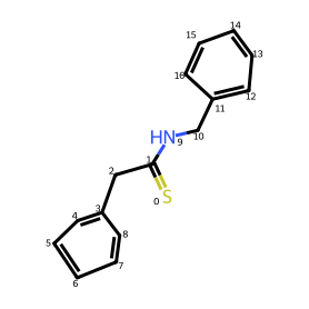 S=C(Cc1ccccc1)NCc1ccccc1